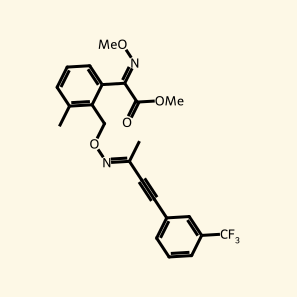 CO/N=C(/C(=O)OC)c1cccc(C)c1CO/N=C(\C)C#Cc1cccc(C(F)(F)F)c1